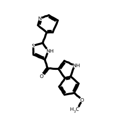 COc1ccc2c(C(=O)C3=CSC(c4cccnc4)N3)c[nH]c2c1